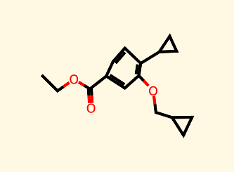 CCOC(=O)c1ccc(C2CC2)c(OCC2CC2)c1